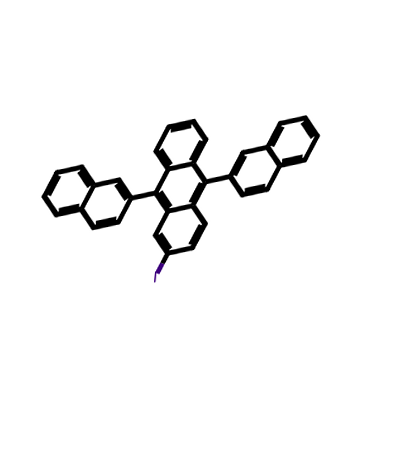 Ic1ccc2c(-c3ccc4ccccc4c3)c3ccccc3c(-c3ccc4ccccc4c3)c2c1